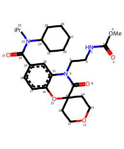 COC(=O)NCCN1C(=O)C2(CCOCC2)Oc2ccc(C(=O)N(C(C)C)C3CCCCC3)cc21